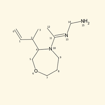 C=CC(C)C1COCCCN1/C(C)=N/CN